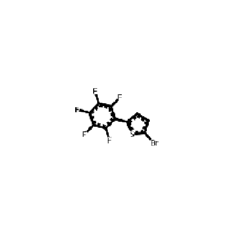 Fc1c(F)c(F)c(-c2ccc(Br)s2)c(F)c1F